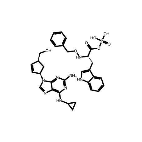 Nc1nc(NC2CC2)c2ncn([C@H]3C=C[C@@H](CO)C3)c2n1.O=C(OP(=O)(O)O)[C@H](Cc1c[nH]c2ccccc12)NOCc1ccccc1